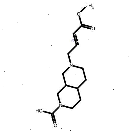 COC(=O)/C=C/CN1CCC2CCN(C(=O)O)CC2C1